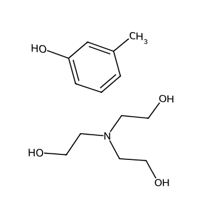 Cc1cccc(O)c1.OCCN(CCO)CCO